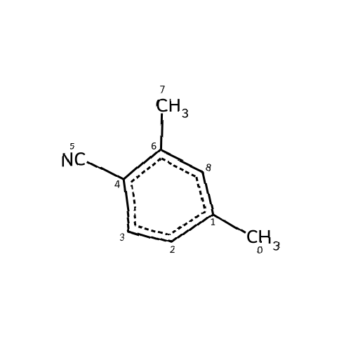 Cc1ccc(C#N)c(C)c1